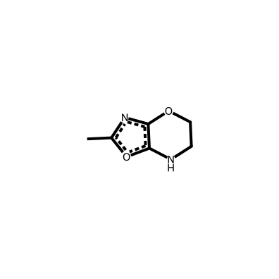 Cc1nc2c(o1)NCCO2